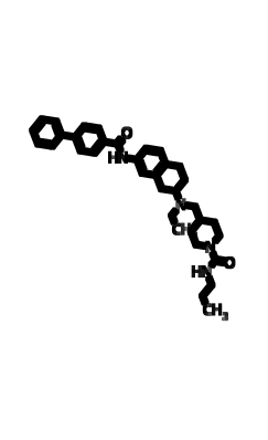 CCCNC(=O)N1CCC(CN(CC)C2CCc3ccc(NC(=O)c4ccc(-c5ccccc5)cc4)cc3C2)CC1